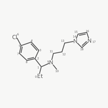 CCC(c1ccc(Cl)cc1)N(C)CCCn1ccnc1